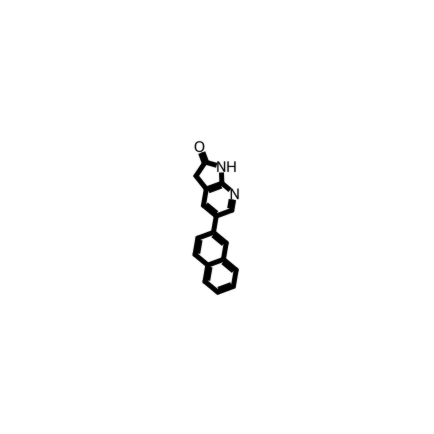 O=C1Cc2cc(-c3ccc4ccccc4c3)cnc2N1